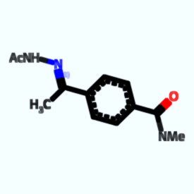 CNC(=O)c1ccc(/C(C)=N/NC(C)=O)cc1